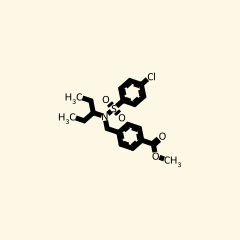 CCC(CC)N(Cc1ccc(C(=O)OC)cc1)S(=O)(=O)c1ccc(Cl)cc1